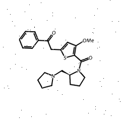 COc1cc(CC(=O)c2ccccc2)sc1C(=O)N1CCC[C@H]1CN1CCCC1